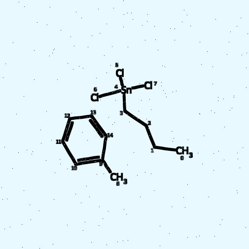 CCC[CH2][Sn]([Cl])([Cl])[Cl].Cc1ccccc1